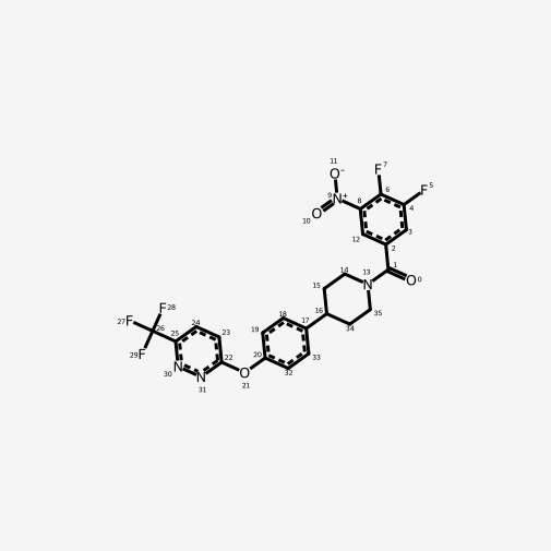 O=C(c1cc(F)c(F)c([N+](=O)[O-])c1)N1CCC(c2ccc(Oc3ccc(C(F)(F)F)nn3)cc2)CC1